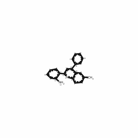 Cc1ccc2nc(-c3ccccc3N)cc(-c3ccccc3)c2c1